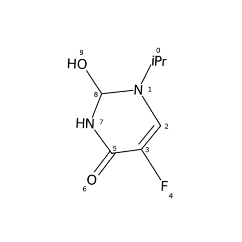 CC(C)N1C=C(F)C(=O)NC1O